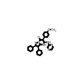 COc1ccc(-c2c(Nc3cnccn3)[nH]c3c(-c4ccccc4)c(-c4ccccc4)nn3c2=O)cc1